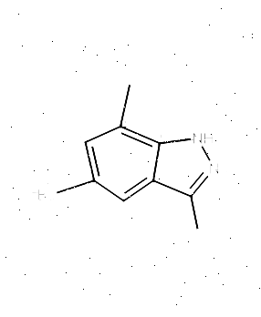 Cc1n[nH]c2c(C)cc(C(C)(C)C)cc12